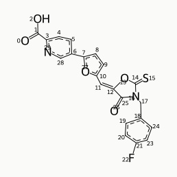 O=C(O)c1ccc(-c2ccc(/C=C3\OC(=S)N(Cc4ccc(F)cc4)C3=O)o2)cn1